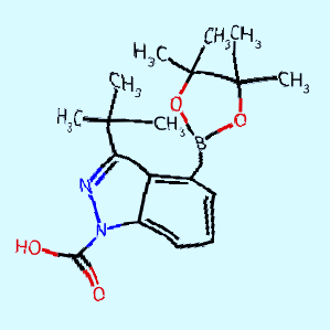 CC(C)(C)c1nn(C(=O)O)c2cccc(B3OC(C)(C)C(C)(C)O3)c12